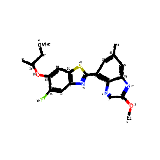 CCOc1cnc2c(-c3nc4cc(F)c(OC(C)COC)cc4s3)cc(C)cc2n1